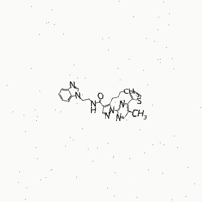 CCCCc1c(C(=O)NCCn2cnc3ccccc32)cnn1-c1ncc(C)c(-c2cccs2)n1